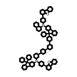 c1ccc(C2(c3ccccc3)c3ccccc3-c3ccc(N(c4ccc(-c5cccc6c5oc5ccccc56)cc4)c4cccc(-c5ccc(-c6cccc(-c7ccc(C8(c9ccccc9)c9ccccc9-c9ccc(N(c%10ccc(-c%11cccc%12c%11oc%11ccccc%11%12)cc%10)c%10cccc%11ccccc%10%11)cc98)cc7)c6)cc5)c4)cc32)cc1